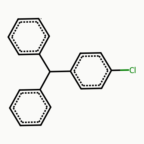 Clc1ccc(C(c2c[c]ccc2)c2ccccc2)cc1